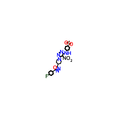 CS(=O)(=O)c1ccc(Nc2ncnc(N3CCC(c4nnc(-c5ccc(F)cc5)o4)CC3)c2[N+](=O)[O-])cc1